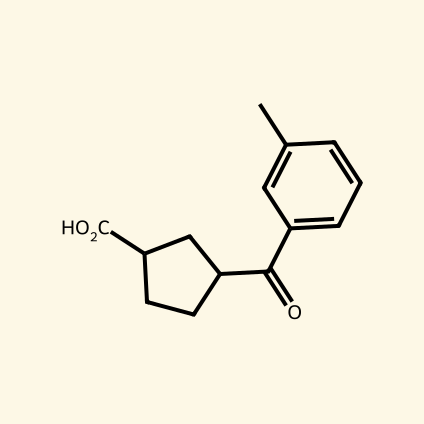 Cc1cccc(C(=O)C2CCC(C(=O)O)C2)c1